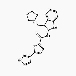 O=C(NC1Nc2ccccc2N1C[C@@H]1CCCN1)c1ccc(-c2cn[nH]c2)s1